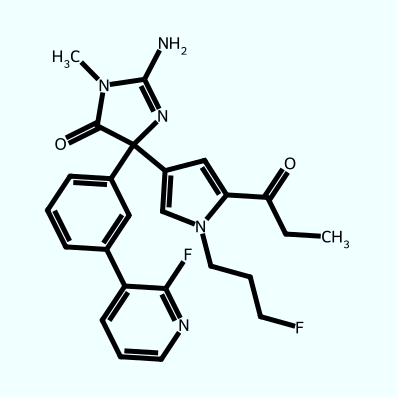 CCC(=O)c1cc(C2(c3cccc(-c4cccnc4F)c3)N=C(N)N(C)C2=O)cn1CCCF